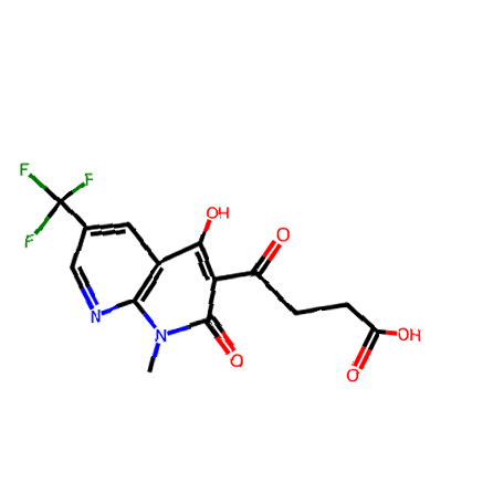 Cn1c(=O)c(C(=O)CCC(=O)O)c(O)c2cc(C(F)(F)F)cnc21